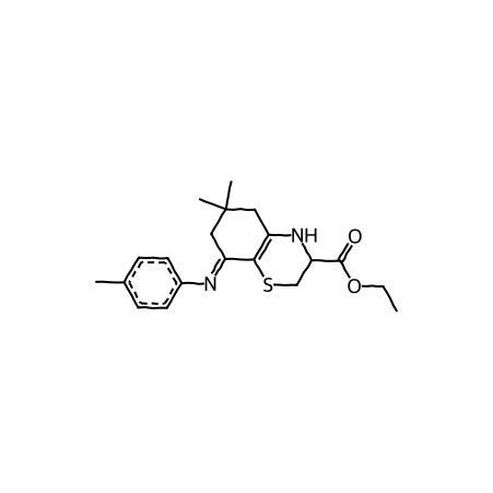 CCOC(=O)C1CSC2=C(CC(C)(C)C/C2=N\c2ccc(C)cc2)N1